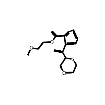 C=C(OCCOC)c1ccccc1C(=C)C1COCCS1